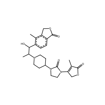 CC1=C(N2CCN(C3CCN(C(C)C(O)c4ccc5c(c4C)COC5=O)CC3)C2=O)COC1=O